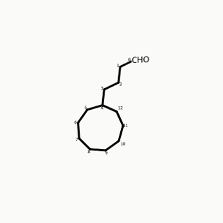 O=CCCCC1CCCCCCCC1